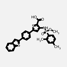 COP(=O)(Nc1cc(-c2ccc(-c3cc4ccccc4s3)cc2)sc1C(=O)O)c1ccc(C)cc1C